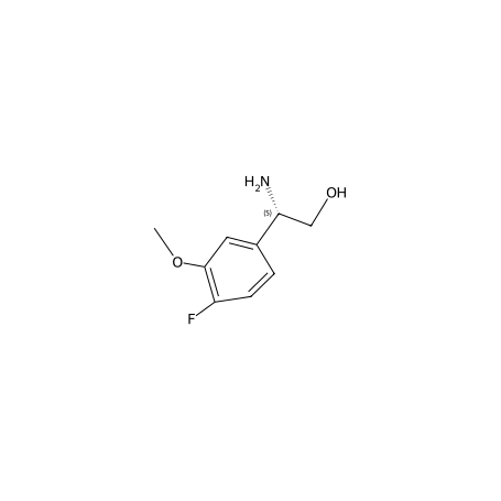 COc1cc([C@H](N)CO)ccc1F